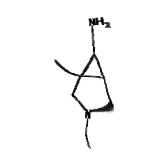 CN1CC2C(N)C2(C)C1